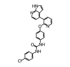 O=C(Nc1ccc(Cl)cc1)Nc1ccc(Oc2ncccc2-c2ccnc3[nH]ccc23)cc1